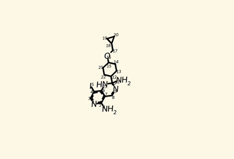 Nc1ncc(I)c2c1C=NC(N)(C1CCC(OCC3CC3)CC1)N2